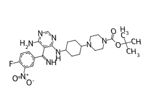 CC(C)(C)OC(=O)N1CCN(C2CCC(Nc3ncnc(N)c3C(=N)c3ccc(F)c([N+](=O)[O-])c3)CC2)CC1